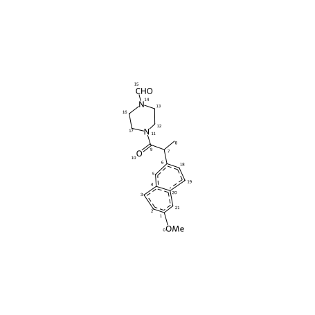 COc1ccc2cc(C(C)C(=O)N3CCN(C=O)CC3)ccc2c1